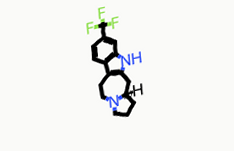 FC(F)(F)c1ccc2c3c([nH]c2c1)C[C@@H]1CCCN1CC3